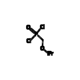 [CH2]C(C)OCP(=O)(Cl)Cl